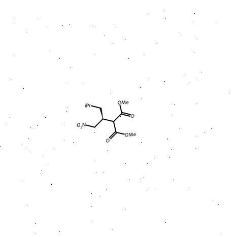 COC(=O)C(C(=O)OC)[C@H](CC(C)C)C[N+](=O)[O-]